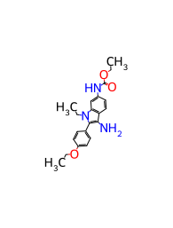 CCOC(=O)Nc1ccc2c(N)c(-c3ccc(OCC)cc3)n(CC)c2c1